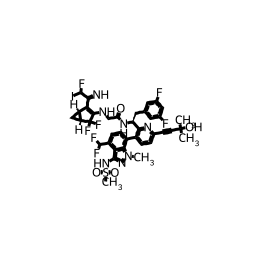 Cn1nc(NS(C)(=O)=O)c2c(C(F)F)ccc(-c3ccc(C#CC(C)(C)O)nc3[C@H](Cc3cc(F)cc(F)c3)NC(=O)CNC3=C(C(=N)C(F)I)[C@H]4C[C@H]4C3(F)F)c21